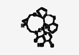 O=C1c2c(O)c(=O)ccn2N2CN1CC[C@@H]1C=C1COc1cccc3c1[C@@H]2c1ccccc1SC3